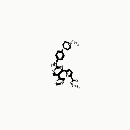 COC(=O)c1ccc(-c2nc(Nc3ccc(N4CCN(C)CC4)cc3)ncc2-c2cncs2)o1